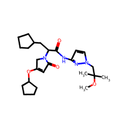 COC(C)(C)Cn1ccc(NC(=O)C(CC2CCCC2)N2CC(OC3CCCC3)=CC2=O)n1